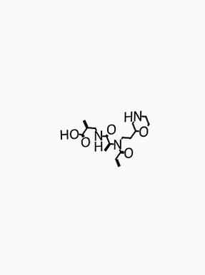 C=CC(=O)N(CCC1CNCCO1)C(=C)C(=O)NCC(=C)C(=O)O